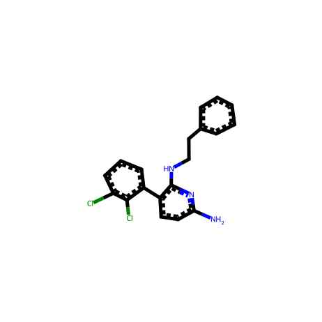 Nc1ccc(-c2cccc(Cl)c2Cl)c(NCCc2ccccc2)n1